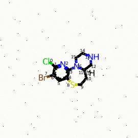 Clc1nc2c(cc1Br)SCC[C@@H]1CNCCN21